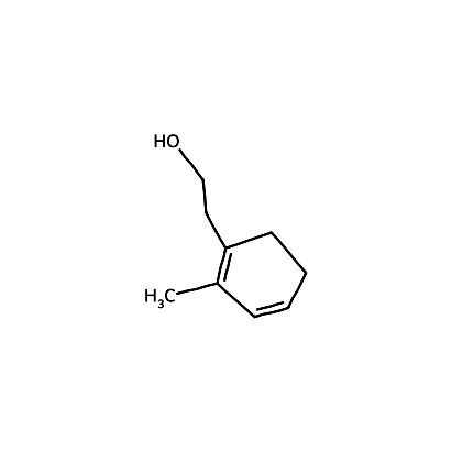 CC1=C(CCO)CCC=C1